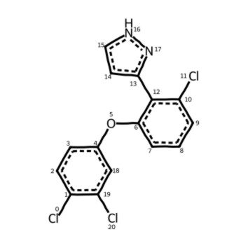 Clc1ccc(Oc2cccc(Cl)c2-c2cc[nH]n2)cc1Cl